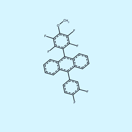 COc1c(F)c(F)c(-c2c3ccccc3c(-c3ccc(F)c(F)c3)c3ccccc23)c(F)c1F